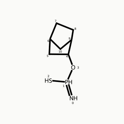 N=[PH](S)OC1CC2CCC1C2